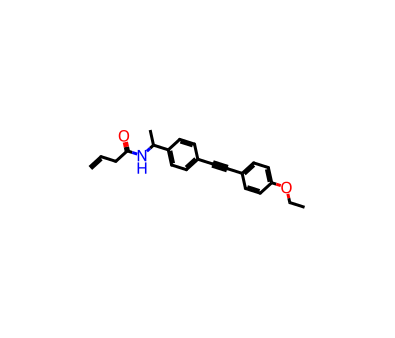 C=CCC(=O)NC(C)c1ccc(C#Cc2ccc(OCC)cc2)cc1